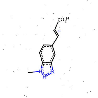 Cn1nnc2cc(/C=C/C(=O)O)ccc21